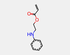 C=CC(=O)OCCNc1ccccc1